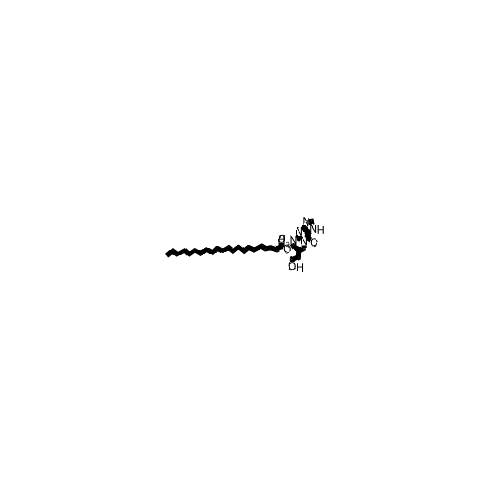 CCCCCCCCCCCCCCCCCCCCCC(=O)OCC(CCO)Cn1c(N)nc2nc[nH]c2c1=O